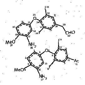 COc1ccc(Oc2c(I)cc(C(C)=O)cc2I)cc1N.COc1ccc(Oc2c(I)cc(CC=O)cc2I)cc1N